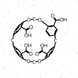 O=C(O)c1cc2ccc1OCOc1ccc(cc1C(=O)O)Cc1ccc(c(C(=O)O)c1)OCOc1ccc(cc1C(=O)O)C2